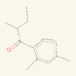 CCC(C)C(=O)c1ccc(C)cc1C